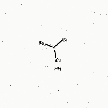 CCC(C)B(C(C)CC)C(C)CC.[HH]